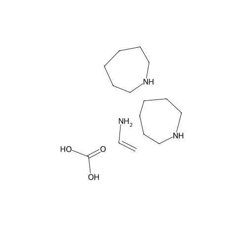 C1CCCNCC1.C1CCCNCC1.C=CN.O=C(O)O